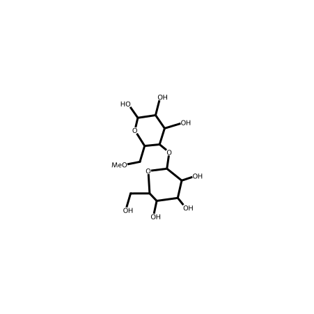 COCC1OC(O)C(O)C(O)C1OC1OC(CO)C(O)C(O)C1O